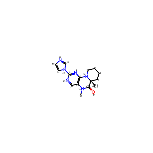 CC[C@]12CCCCN1c1nc(-n3ccnc3)ncc1N(C)C2=O